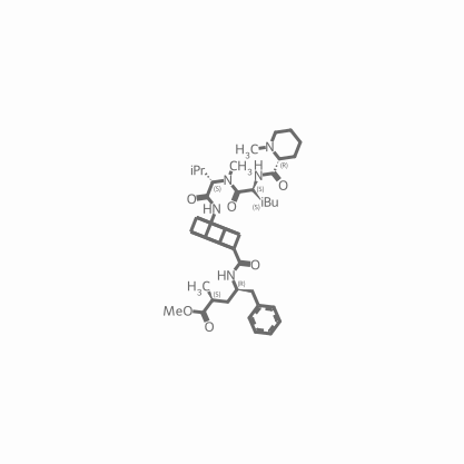 CC[C@H](C)[C@H](NC(=O)[C@H]1CCCCN1C)C(=O)N(C)[C@H](C(=O)NC12C3C4C1C1C2C3C41C(=O)N[C@@H](Cc1ccccc1)C[C@H](C)C(=O)OC)C(C)C